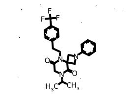 CC(C)N1CC(=O)N(CCc2ccc(C(F)(F)F)cc2)C2(CN(c3ccccc3)C2)C1=O